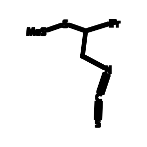 CSSC(CN=C=S)C(C)C